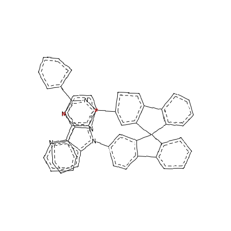 c1ccc(-c2nc(-c3ccccc3)nc(-c3ccc4c(c3)C3(c5ccccc5-4)c4ccccc4-c4ccc(-n5c6ccccc6c6ncccc65)cc43)n2)cc1